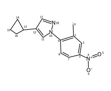 [CH2]c1cc([N+](=O)[O-])ccc1-n1cc(C2CCC2)cn1